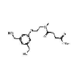 COC(=O)CCC(=O)N(C)CCOc1cc(CO)cc(CO)c1